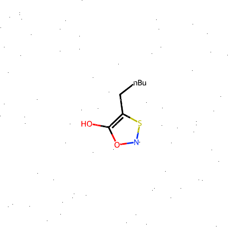 CCCCCC1=C(O)O[N]S1